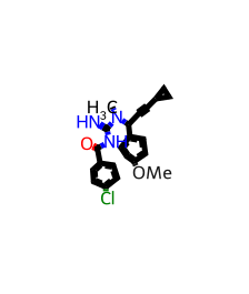 COc1ccc(C(C#CC2CC2)N(C)C(=N)NC(=O)c2ccc(Cl)cc2)cc1